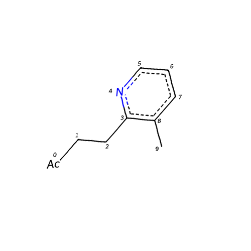 CC(=O)CCc1ncccc1C